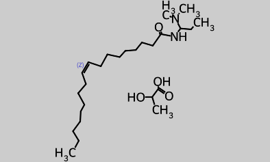 CC(O)C(=O)O.CCCCCCCC/C=C\CCCCCCCC(=O)NC(CC)N(C)C